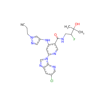 CC(C)(O)C(F)CNC(=O)c1cnc(-n2cnc3cc(Cl)cnc32)cc1Nc1cnn(CCC#N)c1